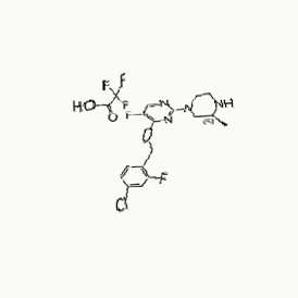 C[C@H]1CN(c2ncc(F)c(OCc3ccc(Cl)cc3F)n2)CCN1.O=C(O)C(F)(F)F